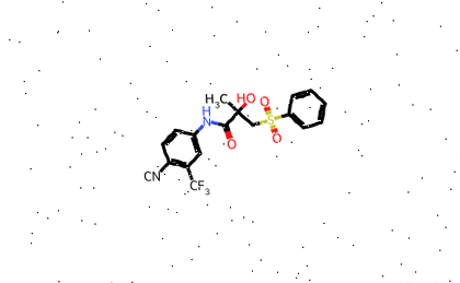 [C-]#[N+]c1ccc(NC(=O)C(C)(O)CS(=O)(=O)c2ccccc2)cc1C(F)(F)F